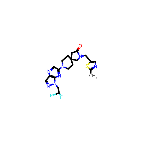 Cc1ncc(CN2CC3(CCN(c4cnc5cnn(CC(F)F)c5n4)CC3)CC2=O)s1